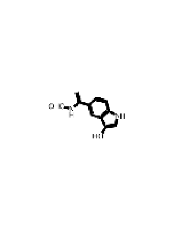 C=C(NC=O)c1ccc2[nH]cc(O)c2c1